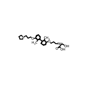 Cc1c(OCCCNC(CO)C(=O)O)cccc1-c1cccc(OCCCN2CCCC2)c1C